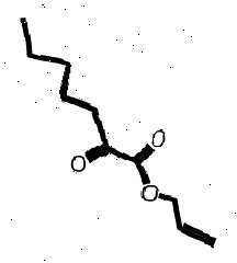 C=CCOC(=O)C(=O)CCCCC